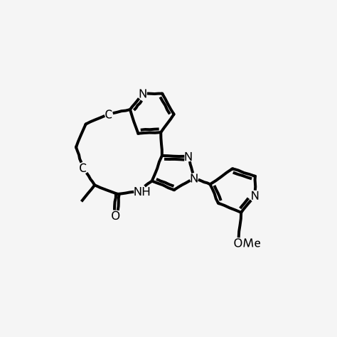 COc1cc(-n2cc3c(n2)-c2ccnc(c2)CCCCC(C)C(=O)N3)ccn1